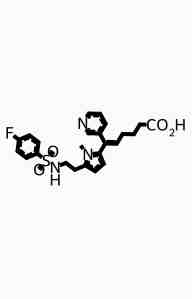 Cn1c(CCNS(=O)(=O)c2ccc(F)cc2)ccc1C(=CCCCC(=O)O)c1cccnc1